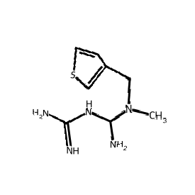 CN(Cc1ccsc1)C(N)NC(=N)N